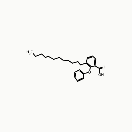 CCCCCCCCCCCCc1cccc(C(=O)O)c1Oc1ccccc1